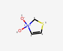 [O-][N+]1([O-])C=CSC1